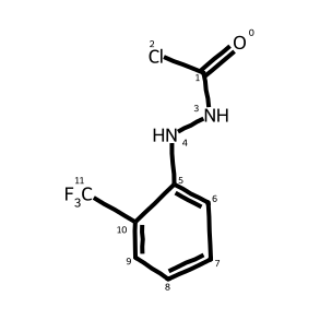 O=C(Cl)NNc1ccccc1C(F)(F)F